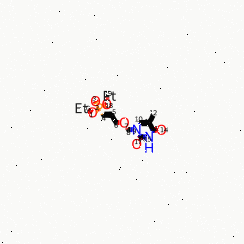 CCOP(=O)(C=CCOCn1cc(C)c(=O)[nH]c1=O)OCC